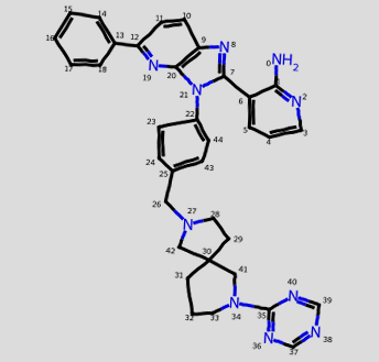 Nc1ncccc1-c1nc2ccc(-c3ccccc3)nc2n1-c1ccc(CN2CCC3(CCCN(c4ncncn4)C3)C2)cc1